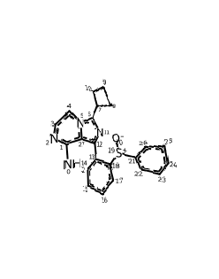 Nc1nccn2c(C3CCC3)nc(-c3ccccc3[S+]([O-])c3ccccc3)c12